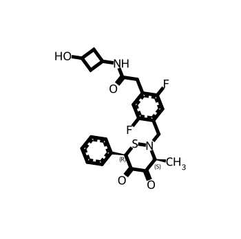 C[C@H]1C(=O)C(=O)[C@@H](c2ccccc2)SN1Cc1cc(F)c(CC(=O)NC2CC(O)C2)cc1F